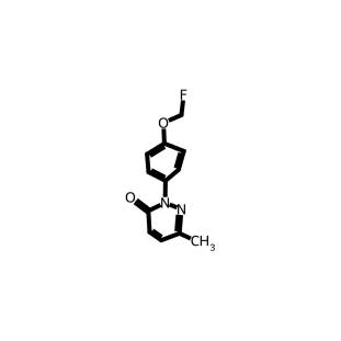 Cc1ccc(=O)n(-c2ccc(OCF)cc2)n1